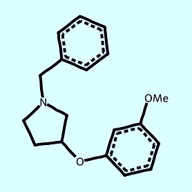 COc1cccc(OC2CCN(Cc3ccccc3)C2)c1